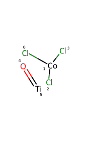 [Cl][Co]([Cl])[Cl].[O]=[Ti]